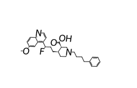 COc1ccc2nccc(C(F)CC[C@@H]3CCN(CCCCc4ccccc4)C[C@@H]3C(=O)O)c2c1